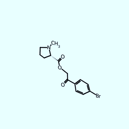 CN1CCC[C@H]1C(=O)OCC(=O)c1ccc(Br)cc1